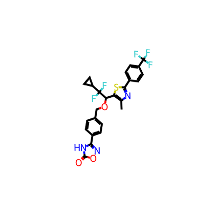 Cc1nc(-c2ccc(C(F)(F)F)cc2)sc1C(OCc1ccc(-c2noc(=O)[nH]2)cc1)C(F)(F)C1CC1